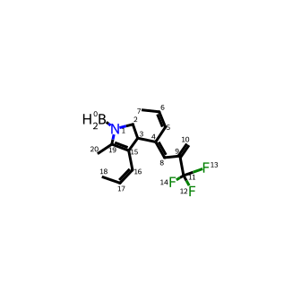 BN1CC(C(/C=C\C)=C/C(=C)C(F)(F)F)C(/C=C\C)=C1C